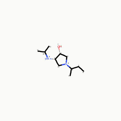 CCC(C)N1C[C@@H](O)[C@@H](NC(C)C)C1